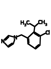 CC(C)c1c(Cl)cccc1Cn1ccnc1